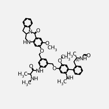 CNc1cc(OCc2cc(COc3cc4c(cc3OC)C(=O)N3c5ccccc5CC3CN4)cc(NC(=O)C(C)NC)c2)c(OC)cc1-c1ccccc1C[C@@H](C)NC=O